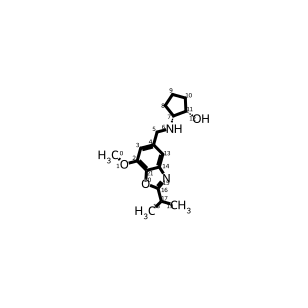 COc1cc(CN[C@@H]2CCC[C@@H]2O)cc2nc(C(C)C)oc12